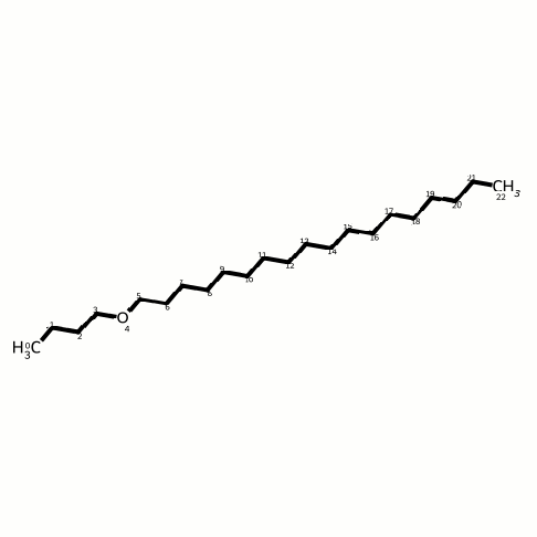 C[CH]CCOCCCCCCCCCCCCCCCCCC